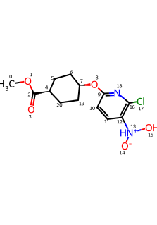 COC(=O)[C@H]1CC[C@@H](Oc2ccc([NH+]([O-])O)c(Cl)n2)CC1